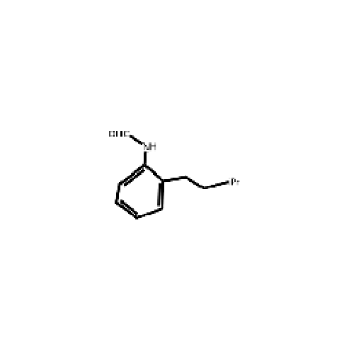 CC(C)CCc1ccccc1NC=O